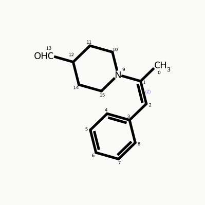 C/C(=C/c1ccccc1)N1CCC(C=O)CC1